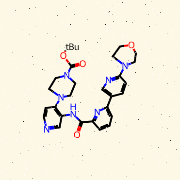 CC(C)(C)OC(=O)N1CCN(c2ccncc2NC(=O)c2cccc(-c3ccc(N4CCOCC4)nc3)n2)CC1